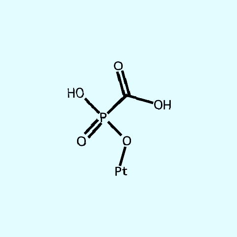 O=C(O)P(=O)(O)[O][Pt]